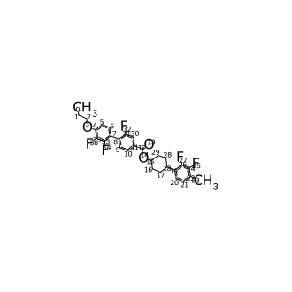 CCCOc1ccc(-c2ccc(C(=O)OC3CCC(c4ccc(C)c(F)c4F)CC3)cc2F)c(F)c1F